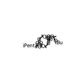 CCC[C@@H](C)C(C)B1OB2OCC(C)OB3OB(OCC(C)OB(O2)O1)OB(OC(C)COC(C)(C)C)O3